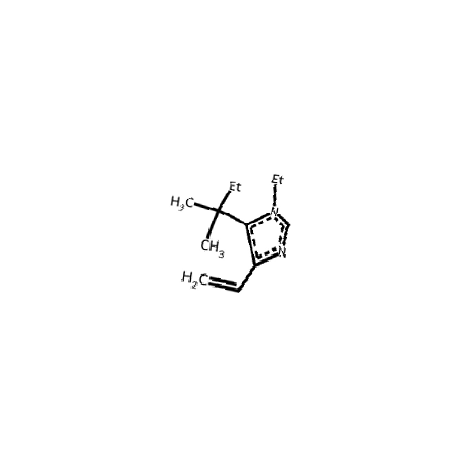 C=Cc1ncn(CC)c1C(C)(C)CC